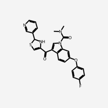 CN(C)C(=O)n1cc(C(=O)C2=CSC(c3cccnc3)N2)c2ccc(Oc3ccc(F)cc3)cc21